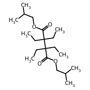 CCC(CC)(C(=O)OCC(C)C)C(CC)(CC)C(=O)OCC(C)C